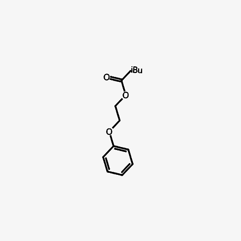 CCC(C)C(=O)OCCOc1ccccc1